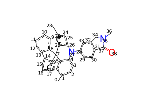 Cc1ccc2c(c1)C1(c3ccccc3-c3ccccc31)c1cc(C)ccc1N2c1ccc2c(c1)CN(C)C2=O